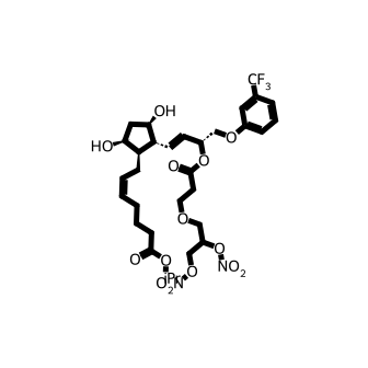 CC(C)OC(=O)CCC/C=C\C[C@@H]1[C@@H](/C=C/[C@H](COc2cccc(C(F)(F)F)c2)OC(=O)CCOCC(CO[N+](=O)[O-])O[N+](=O)[O-])[C@H](O)C[C@@H]1O